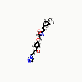 O=C(CCCn1ccnn1)c1ccc(OCc2coc(/C=C/c3ccc(C(F)(F)F)cc3)n2)cc1